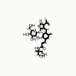 Cc1cc(/C=C/C(=O)NC(C)(CO)CO)ccc1Cc1c(O[C@@H]2O[C@H](CO)[C@@H](O)[C@H](O)[C@H]2O)n[nH]c1C(C)C